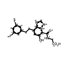 O=C(O)CNC(=O)c1c(O)cc(CCc2cc(F)cc(F)c2)c2ncnn12